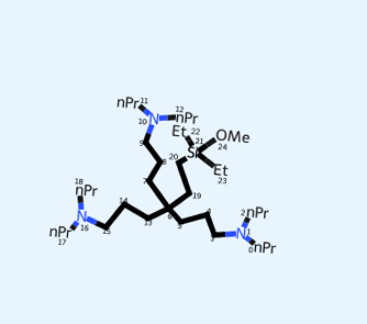 CCCN(CCC)CCCC(CCCN(CCC)CCC)(CCCN(CCC)CCC)CC[Si](CC)(CC)OC